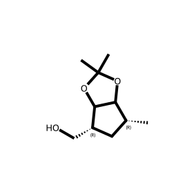 C[C@@H]1C[C@H](CO)C2OC(C)(C)OC21